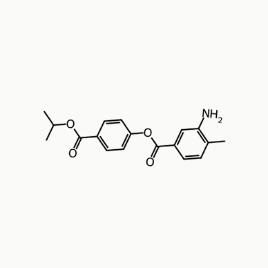 Cc1ccc(C(=O)Oc2ccc(C(=O)OC(C)C)cc2)cc1N